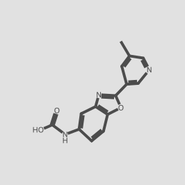 Cc1cncc(-c2nc3cc(NC(=O)O)ccc3o2)c1